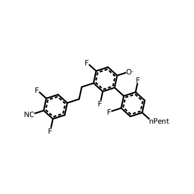 CCCCCc1cc(F)c(-c2c([O])cc(F)c(CCc3cc(F)c(C#N)c(F)c3)c2F)c(F)c1